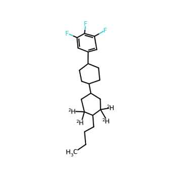 [2H]C1([2H])CC(C2CCC(c3cc(F)c(F)c(F)c3)CC2)CC([2H])([2H])C1CCCC